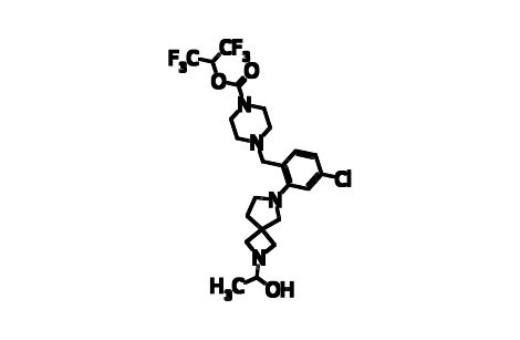 CC(O)N1CC2(CCN(c3cc(Cl)ccc3CN3CCN(C(=O)OC(C(F)(F)F)C(F)(F)F)CC3)C2)C1